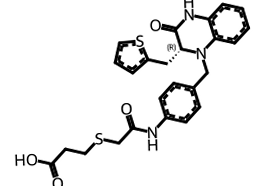 O=C(O)CCSCC(=O)Nc1ccc(CN2c3ccccc3NC(=O)[C@H]2Cc2cccs2)cc1